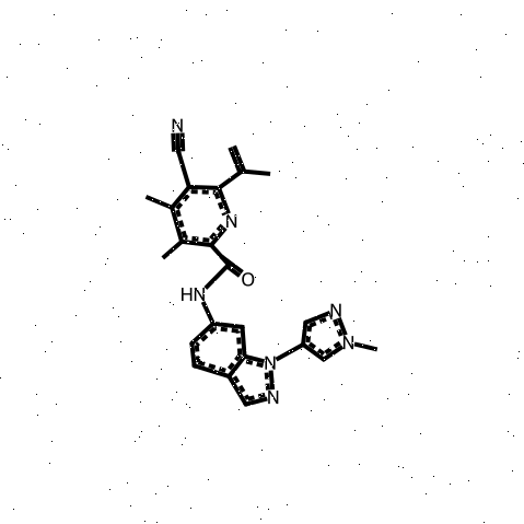 C=C(C)c1nc(C(=O)Nc2ccc3cnn(-c4cnn(C)c4)c3c2)c(C)c(C)c1C#N